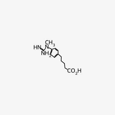 CN(C(=N)N)c1ccc(CCCCC(=O)O)cc1